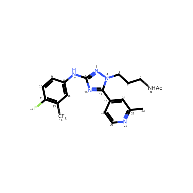 CC(=O)NCCCn1nc(Nc2ccc(F)c(C(F)(F)F)c2)nc1-c1ccnc(C)c1